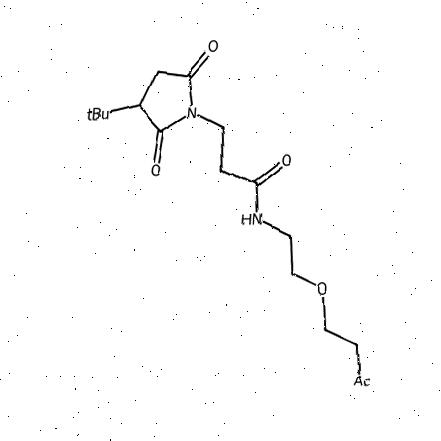 CC(=O)CCOCCNC(=O)CCN1C(=O)CC(C(C)(C)C)C1=O